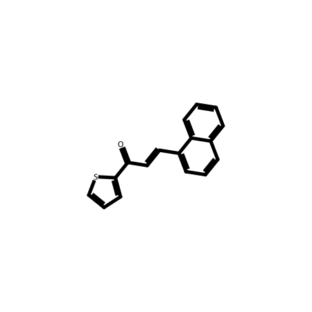 O=C(/C=C/c1cccc2ccccc12)c1cccs1